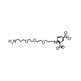 NCCCOCCOCCOCCCNc1ccc([N+](=O)[O-])cc1[N+](=O)[O-]